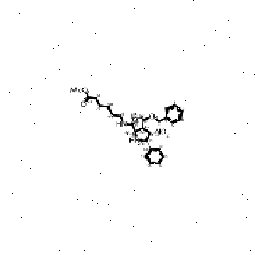 CC[C@H](C)C(OCc1ccccc1)[C@H]1[C@H]([N+](=O)[O-])[C@H](c2ccccc2)N[C@@]1(C)C(=O)NCCCCCC(=O)OC